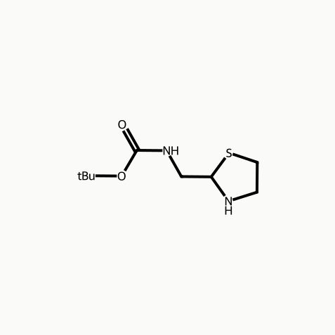 CC(C)(C)OC(=O)NCC1NCCS1